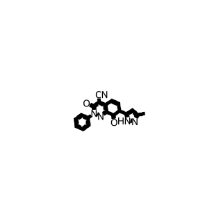 Cc1cc(C2C=Cc3c(nn(-c4ccccc4)c(=O)c3C#N)C2=O)[nH]n1